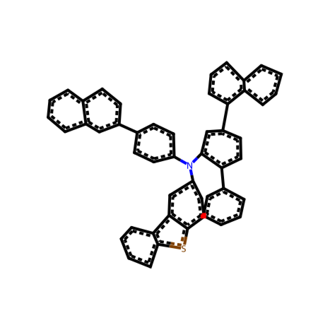 c1ccc(-c2ccc(-c3cccc4ccccc34)cc2N(c2ccc(-c3ccc4ccccc4c3)cc2)c2ccc3sc4ccccc4c3c2)cc1